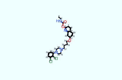 CCNC(=O)Oc1ccc2ccc(OCCCCN3CCN(c4cccc(Cl)c4Cl)CC3)cc2n1